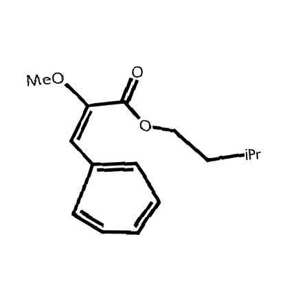 COC(=Cc1ccccc1)C(=O)OCCC(C)C